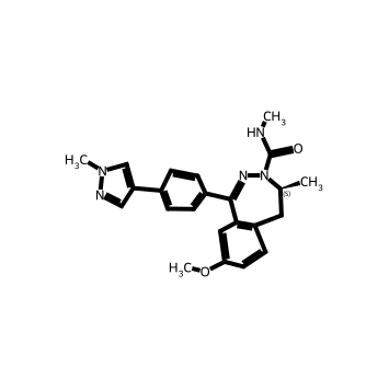 CNC(=O)N1N=C(c2ccc(-c3cnn(C)c3)cc2)c2cc(OC)ccc2C[C@@H]1C